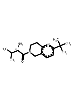 CC(C)[C@H](N)C(=O)N1CCc2nc(C(C)(C)C)ccc2C1